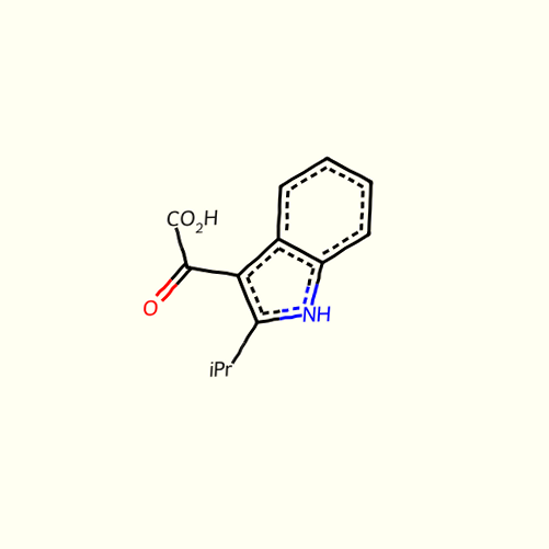 CC(C)c1[nH]c2ccccc2c1C(=O)C(=O)O